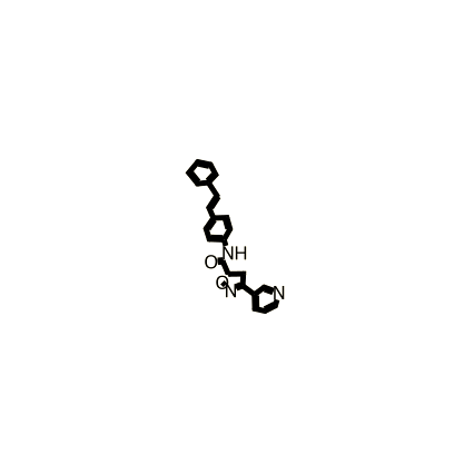 O=C(Nc1ccc(C=Cc2ccccc2)cc1)C1CC(c2cccnc2)=NO1